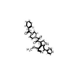 COc1cnc(-c2ccncn2)c2c1C(C(=O)C(=O)N1CCN(C(=O)c3ccccc3)CC1)CN2